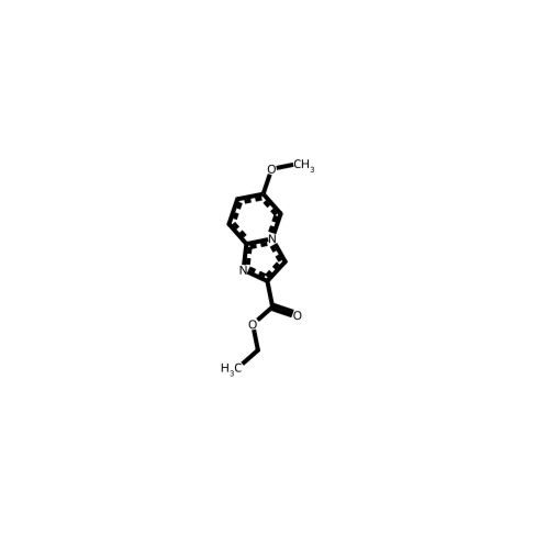 CCOC(=O)c1cn2cc(OC)ccc2n1